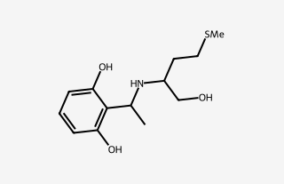 CSCCC(CO)NC(C)c1c(O)cccc1O